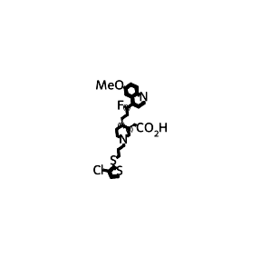 COc1ccc2nccc([C@H](F)CC[C@@H]3CCN(CCCSc4sccc4Cl)C[C@@H]3CC(=O)O)c2c1